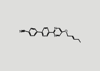 CC/C=C/COc1cnc(-c2ccc(-c3ccc(C#N)cc3)cc2)nc1